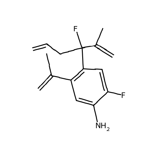 C=CCC(F)(C(=C)C)c1cc(F)c(N)cc1C(=C)C